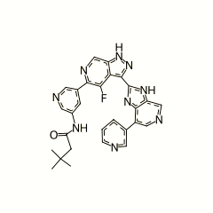 CC(C)(C)CC(=O)Nc1cncc(-c2ncc3[nH]nc(-c4nc5c(-c6cccnc6)cncc5[nH]4)c3c2F)c1